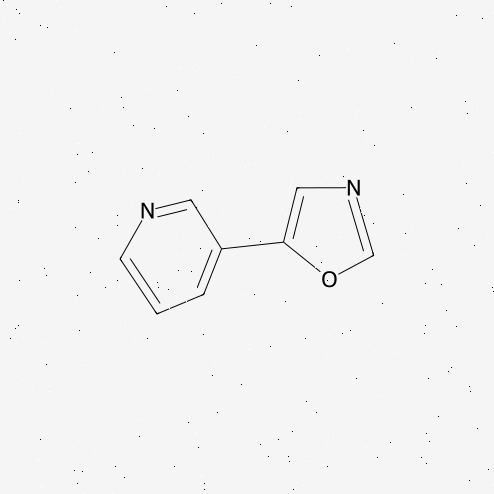 c1cncc(-c2cnco2)c1